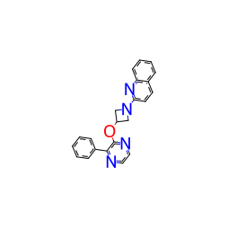 c1ccc(-c2nccnc2OC2CN(c3ccc4ccccc4n3)C2)cc1